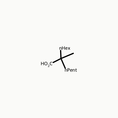 CCCCCCC(C)(CCCCC)C(=O)O